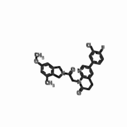 COc1cc(C)c2c(c1)CN(C(=O)CN1C(=O)CCc3cc(-c4ccc(F)c(Cl)c4)cnc31)C2